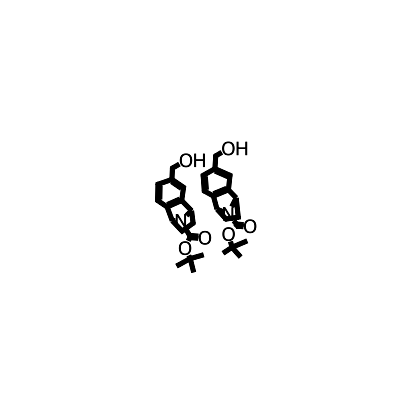 CC(C)(C)OC(=O)N1C2CCC1c1cc(CO)ccc12.CC(C)(C)OC(=O)N1C2CCC1c1cc(CO)ccc12